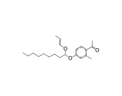 C/C=C/OC(CCCCCCCC)Oc1ccc(C(C)=O)c(C)c1